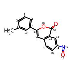 Cc1cccc(-c2cc3ccc(N=O)cc3c(=O)o2)c1